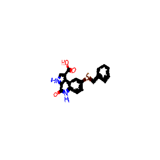 O=C(O)c1c[nH]c2c(=O)[nH]c3ccc(SCc4ccccc4)cc3c12